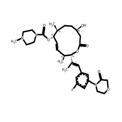 C/C(=C\c1cc(F)cc(N2CCOCC2=O)c1)[C@H]1OC(=O)C[C@H](O)CC[C@H](C)[C@@H](OC(=O)N2CCN(C)CC2)/C=C/[C@@H]1C